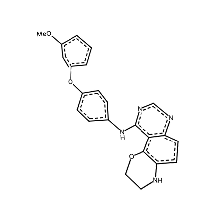 COc1cccc(Oc2ccc(Nc3ncnc4ccc5c(c34)OCCN5)cc2)c1